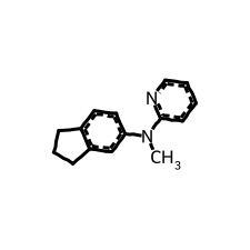 CN(c1ccc2c(c1)CCC2)c1ccccn1